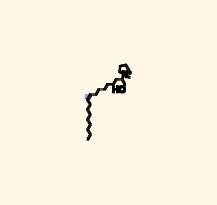 CCCCCCCC/C=C\CCCCCCC(CO)[N+]1(C)CCCC1